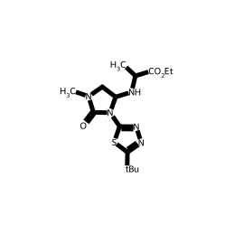 CCOC(=O)C(C)NC1CN(C)C(=O)N1c1nnc(C(C)(C)C)s1